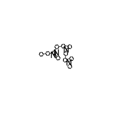 C1=CCC(n2c3ccccc3c3c(-c4ccc(-n5c6ccccc6c6ccc(-c7cccc(-c8cc(-c9ccc(-c%10ccccc%10)cc9)nc(-c9ccccc9)n8)c7)cc65)cc4)cccc32)C=C1